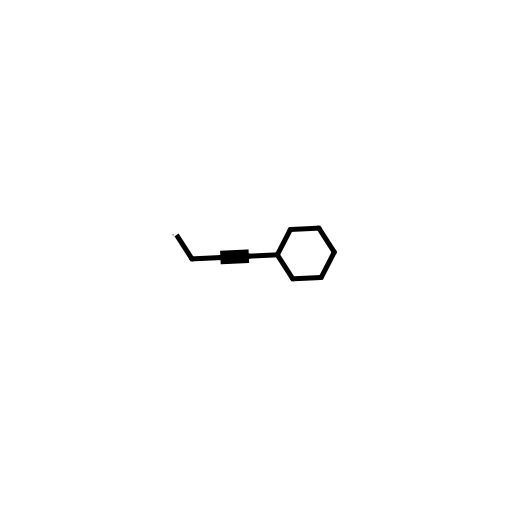 [CH2]CC#CC1CCCCC1